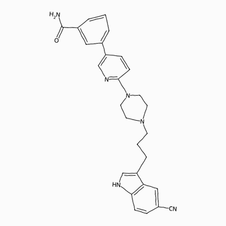 N#Cc1ccc2[nH]cc(CCCN3CCN(c4ccc(-c5cccc(C(N)=O)c5)cn4)CC3)c2c1